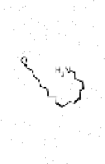 NCC/C=C\C/C=C\C/C=C\CCCCCCC[C]=O